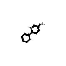 CC(C)(C)c1ccc(C2=CC=CCC2)nc1